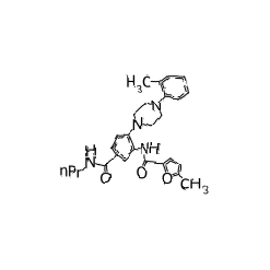 [CH2]CCNC(=O)c1ccc(N2CCN(c3ccccc3C)CC2)c(NC(=O)c2ccc(C)o2)c1